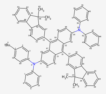 CC(C)(C)c1ccc(N(c2ccccc2)c2ccc3c(-c4ccc5c(c4)C(C)(C)c4ccccc4-5)c4cc(N(c5ccccc5)c5ccccc5)ccc4c(-c4ccc5c(c4)C(C)(C)c4ccccc4-5)c3c2)cc1